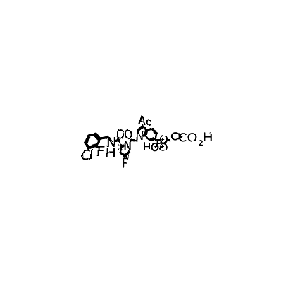 CC(=O)c1cn(CC(=O)N2C[C@H](F)C[C@H]2C(=O)NCc2cccc(Cl)c2F)c2cc(P(=O)(O)OCOC(=O)O)ccc12